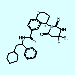 CCC1(CC)CC(=O)N([C@@H]2CCOc3ccc(C(=O)NC(CC4CCCCC4)c4ccccc4)cc32)C(=N)N1